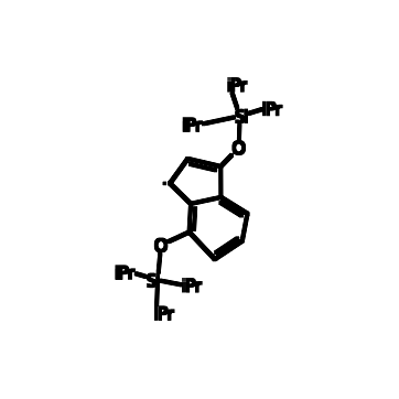 CC(C)[Si](OC1=C[CH]c2c(O[Si](C(C)C)(C(C)C)C(C)C)cccc21)(C(C)C)C(C)C